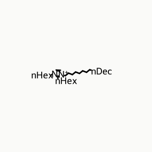 CCCCCCCCCCCCCCCCCC[n+]1ccn(CCCCCC)c1CCCCCC